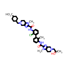 Cc1c(NC(=O)c2nc3c(n2C)CCN(C[C@@H](C)O)C3)cccc1-c1cccc(NC(=O)c2nc3c(n2C)CCN(CC2CCC(C(=O)O)CC2)C3)c1Cl